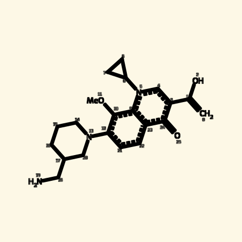 C=C(O)c1cn(C2CC2)c2c(OC)c(N3CCCC(CN)C3)ccc2c1=O